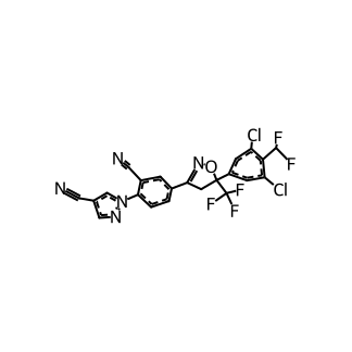 N#Cc1cnn(-c2ccc(C3=NOC(c4cc(Cl)c(C(F)F)c(Cl)c4)(C(F)(F)F)C3)cc2C#N)c1